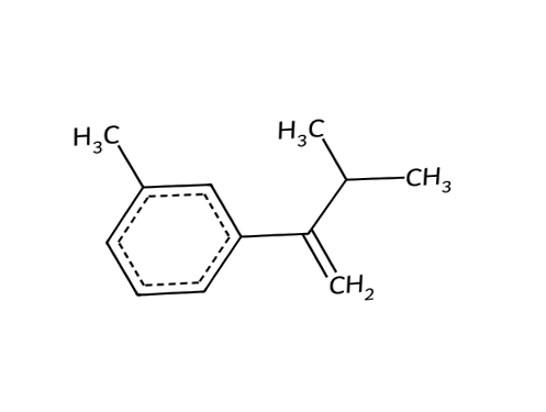 C=C(c1cccc(C)c1)C(C)C